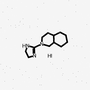 C1CCC2CN(C3=NCCN3)CCC2C1.I